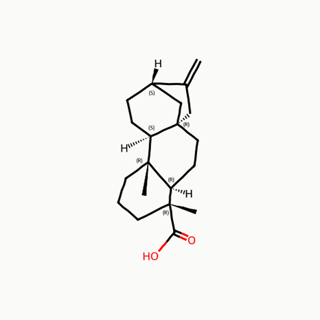 C=C1C[C@]23CC[C@@H]4[C@](C)(CCC[C@@]4(C)C(=O)O)[C@H]2CC[C@H]1C3